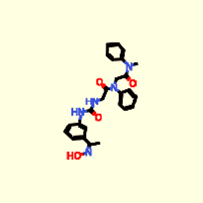 C/C(=N/O)c1cccc(NC(=O)NCC(=O)N(CC(=O)N(C)c2ccccc2)c2ccccc2)c1